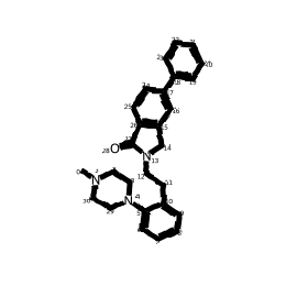 CN1CCN(c2ccccc2CCN2Cc3cc(-c4ccccc4)ccc3C2=O)CC1